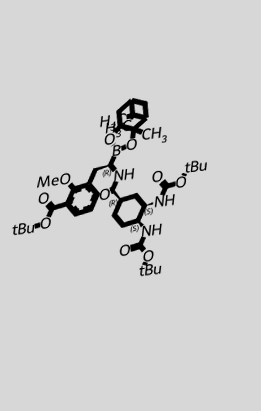 COc1c(C[C@H](NC(=O)[C@@H]2CC[C@H](NC(=O)OC(C)(C)C)[C@@H](NC(=O)OC(C)(C)C)C2)B2OC3CC4CC(C4(C)C)C3(C)O2)cccc1C(=O)OC(C)(C)C